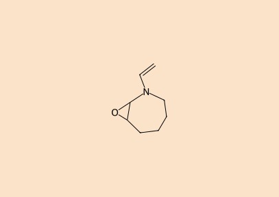 C=CN1CCCCC2OC21